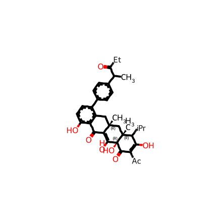 CCC(=O)C(C)c1ccc(-c2ccc(O)c3c2C[C@]2(C)C[C@]4(C)C(C(C)C)C(O)=C(C(C)=O)C(=O)[C@]4(O)C(O)=C2C3=O)cc1